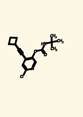 CC(C)(C)NC(=O)Oc1cnc(Cl)cc1C#CC1CCC1